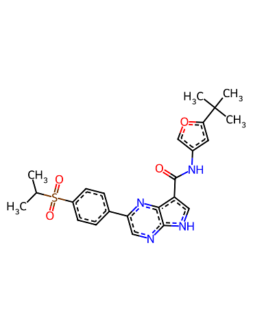 CC(C)S(=O)(=O)c1ccc(-c2cnc3[nH]cc(C(=O)Nc4coc(C(C)(C)C)c4)c3n2)cc1